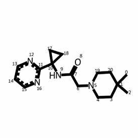 CC1(C)CCN(CC(=O)NC2(c3ncccn3)CC2)CC1